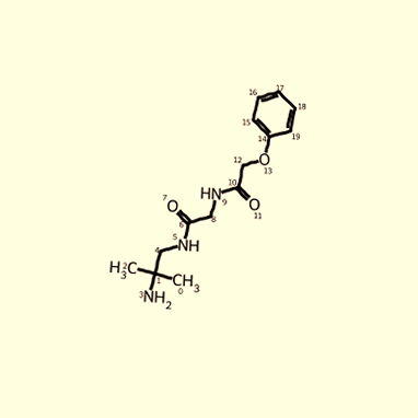 CC(C)(N)CNC(=O)CNC(=O)COc1ccccc1